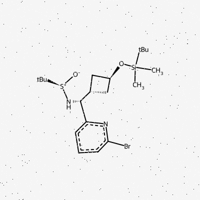 CC(C)(C)[S@@+]([O-])N[C@@H](c1cccc(Br)n1)[C@H]1C[C@H](O[Si](C)(C)C(C)(C)C)C1